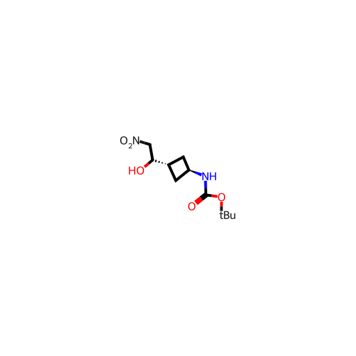 CC(C)(C)OC(=O)N[C@H]1C[C@H](C(O)C[N+](=O)[O-])C1